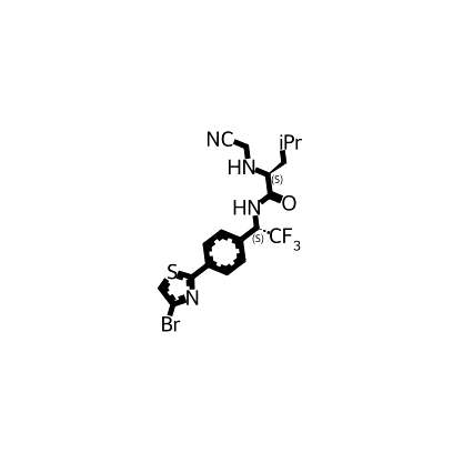 CC(C)C[C@H](NCC#N)C(=O)N[C@@H](c1ccc(-c2nc(Br)cs2)cc1)C(F)(F)F